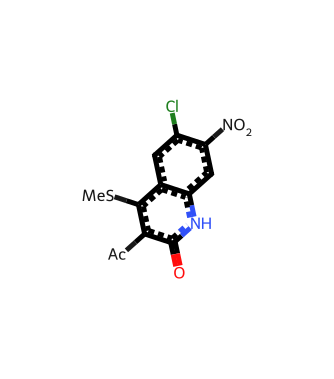 CSc1c(C(C)=O)c(=O)[nH]c2cc([N+](=O)[O-])c(Cl)cc12